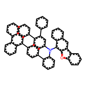 c1ccc(-c2ccc(N(c3ccccc3-c3ccc(-c4cc5ccccc5c5ccccc45)cc3)c3c4ccccc4cc4c3oc3ccccc34)cc2-c2ccccc2)cc1